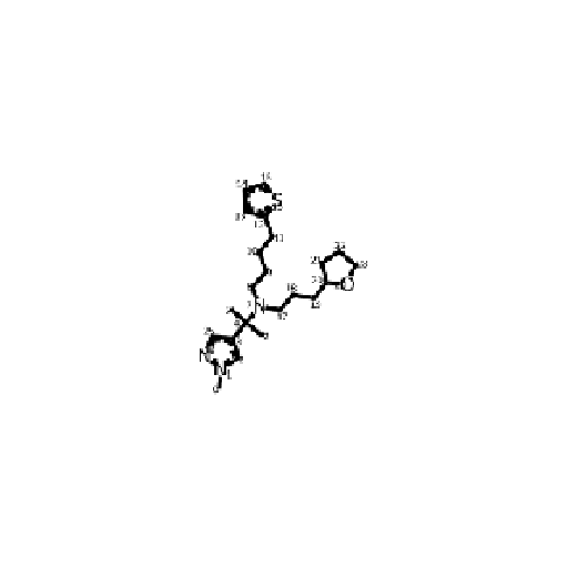 Cn1cc(C(C)(C)N(CCCCc2cccs2)CCCC2CCCO2)cn1